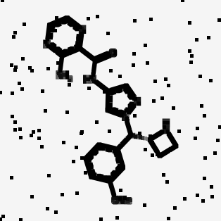 COc1cccc(C([C@H]2CCN2)n2cc(NC(=O)c3nccnc3N)cn2)c1